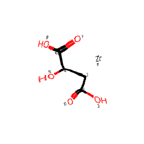 O=C(O)CC(O)C(=O)O.[Zr]